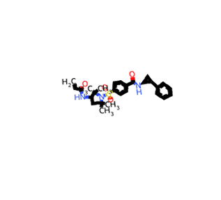 C=CC(=O)NC1CC(C)(C)N(S(=O)(=O)c2ccc(C(=O)N[C@@H]3CC3c3ccccc3)cc2)C1(C)C